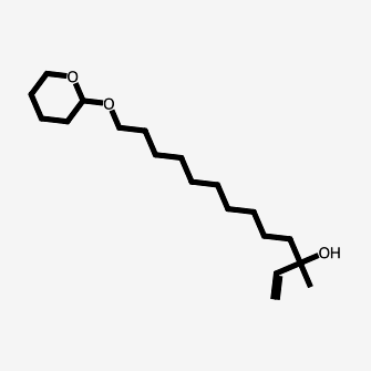 C=CC(C)(O)CCCCCCCCCCOC1CCCCO1